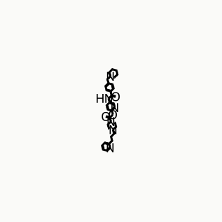 O=C(Nc1ccc(OC(=O)N2CCN(CCCc3ccccn3)CC2)nc1)c1ccc(CN2CCCCC2)cc1